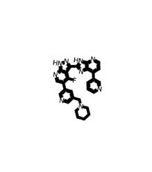 Fc1c(-c2cncc(CN3CCCCC3)c2)cnc2[nH]nc(-c3nc4c(-c5cccnc5)ccnc4[nH]3)c12